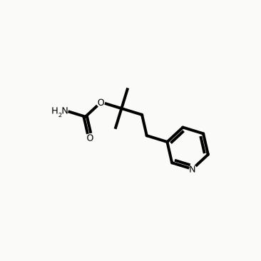 CC(C)(CCc1cccnc1)OC(N)=O